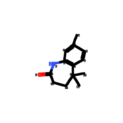 Cc1ccc2c(c1)NC(=O)CCC2(C)C